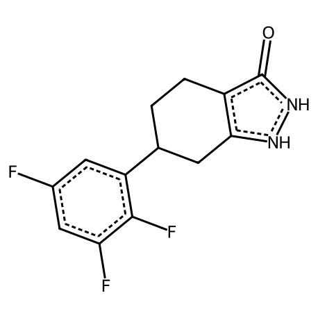 O=c1[nH][nH]c2c1CCC(c1cc(F)cc(F)c1F)C2